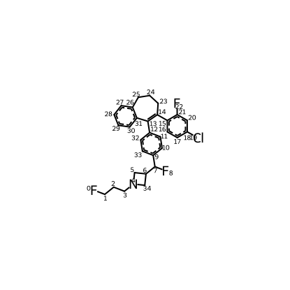 FCCCN1CC(C(F)c2ccc(C3=C(c4ccc(Cl)cc4F)CCCc4ccccc43)cc2)C1